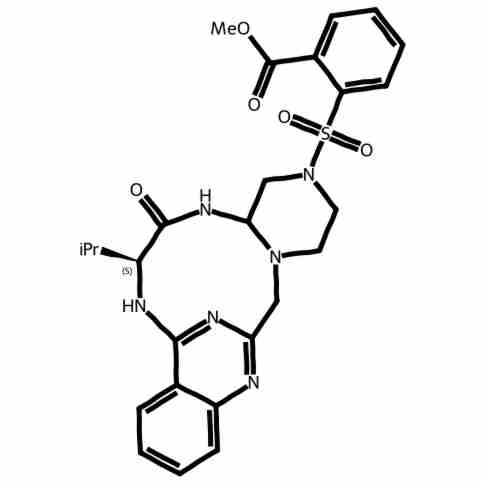 COC(=O)c1ccccc1S(=O)(=O)N1CCN2Cc3nc(c4ccccc4n3)N[C@@H](C(C)C)C(=O)NC2C1